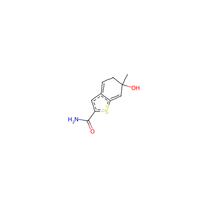 CC1(O)C=c2sc(C(N)=O)cc2=CC1